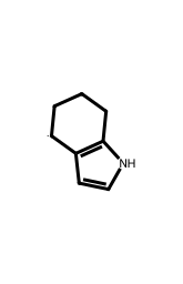 [CH]1CCCc2[nH]ccc21